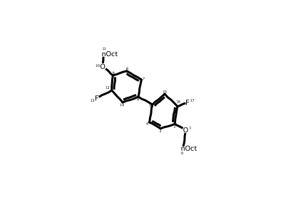 CCCCCCCCOc1ccc(-c2ccc(OCCCCCCCC)c(F)c2)cc1F